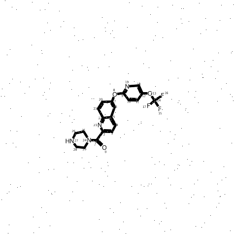 O=C(c1ccc2cc(Oc3ccc(OC(F)(F)F)cn3)ccc2n1)N1CCNCC1